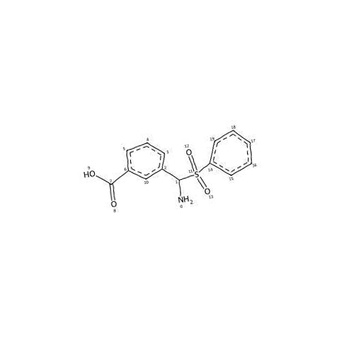 NC(c1cccc(C(=O)O)c1)S(=O)(=O)c1ccccc1